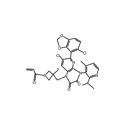 C=CC(=O)N1CC(F)(Cn2c(=O)c(=O)n(-c3c(C)ccnc3C(C)C)c3nc(-c4c(Cl)ccc5c4OCO5)c(Cl)cc32)C1